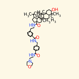 C=C(C)C1CCC2(C(=O)NCCc3cccc(C(=O)NCc4ccc(C(=O)NCCN5CCOCC5)cc4)c3)CC[C@]3(C)C(CCC4C5(C)CCC(O)C(C)(C)C5CCC43C)C12